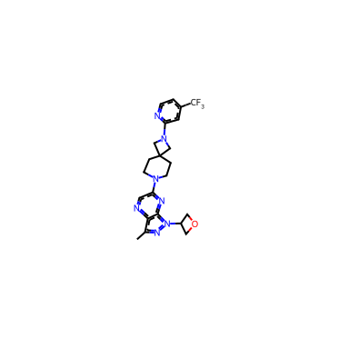 Cc1nn(C2COC2)c2nc(N3CCC4(CC3)CN(c3cc(C(F)(F)F)ccn3)C4)cnc12